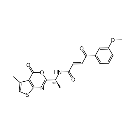 COc1cccc(C(=O)C=CC(=O)N[C@@H](C)c2nc3scc(C)c3c(=O)o2)c1